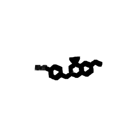 C=Cc1ccc2c(c1)C1(CC1)CN(Cc1ccc(OC)cc1)C2